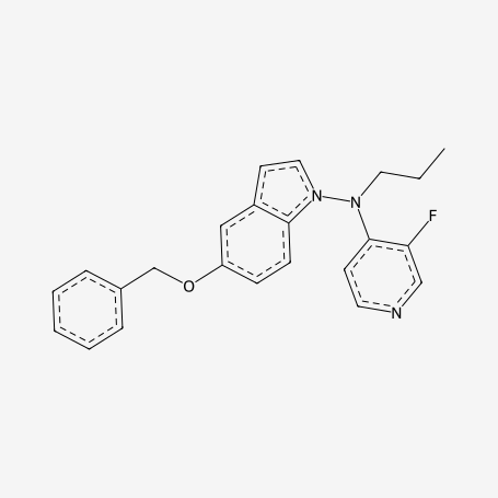 CCCN(c1ccncc1F)n1ccc2cc(OCc3ccccc3)ccc21